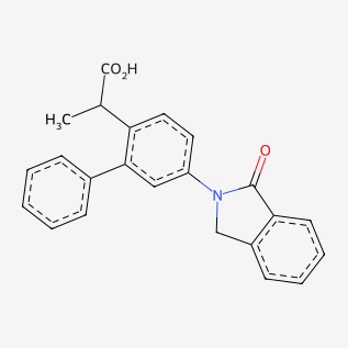 CC(C(=O)O)c1ccc(N2Cc3ccccc3C2=O)cc1-c1ccccc1